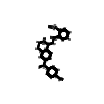 CC(C)c1ccc(N(C)c2ccc3c(c2)CCNC3CNc2cnccc2C(=O)O)cc1